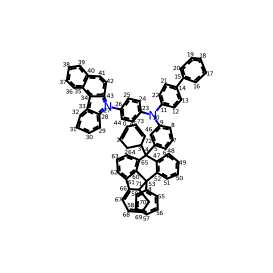 C1=CCC(C2(c3cccc(N(c4ccc(-c5ccccc5)cc4)c4ccc(-n5c6ccccc6c6c7ccccc7ccc65)cc4)c3)c3ccccc3C3(c4ccccc4)c4c(cccc42)C2=CC=CCC23)C=C1